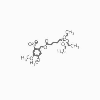 CCO[Si](CCCCC(=O)OCc1cc(OC)c(OC)cc1[N+](=O)[O-])(OCC)OCC